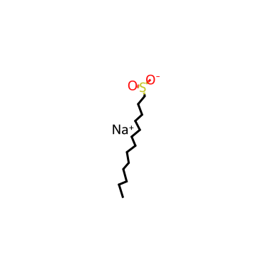 CCCCCCCCCCCCCS(=O)[O-].[Na+]